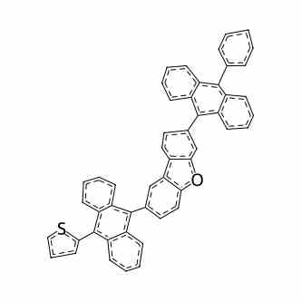 c1ccc(-c2c3ccccc3c(-c3ccc4c(c3)oc3ccc(-c5c6ccccc6c(-c6cccs6)c6ccccc56)cc34)c3ccccc23)cc1